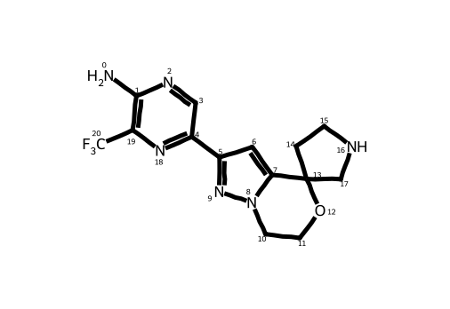 Nc1ncc(-c2cc3n(n2)CCOC32CCNC2)nc1C(F)(F)F